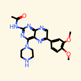 COc1ccc(-c2cnc3nc(NC(C)=O)nc(N4CCNCC4)c3n2)cc1OC